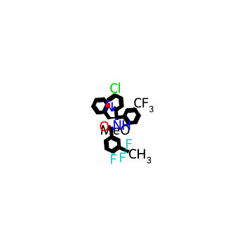 COc1ccc(C(F)(F)F)cc1[C@](Cc1ccccc1)(NC(=O)c1ccc(F)c(C(C)(F)F)c1)c1ccc(Cl)cn1